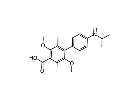 COc1c(C)c(-c2ccc(NC(C)C)cc2)c(OC)c(C)c1C(=O)O